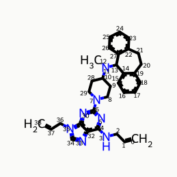 C=CCNc1nc(N2CCC(N(C)C3c4ccccc4CCc4ccccc43)CC2)nc2c1ncn2CC=C